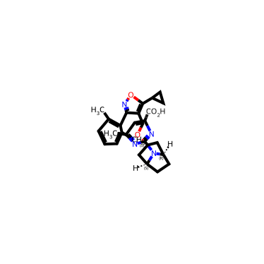 Cc1cc(C(=O)O)nc(N2[C@@H]3CC[C@H]2C[C@H](OCc2c(-c4c(C)cccc4C)noc2C2CC2)C3)n1